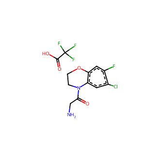 NCC(=O)N1CCOc2cc(F)c(Cl)cc21.O=C(O)C(F)(F)F